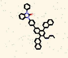 C/C=C\C=C/c1cc(-c2ccc3ccccc3c2)c2cc(-c3ccc(-n4c(=O)n(-c5ccccc5)c5ccccc54)cc3)ccc2c1-c1ccc2ccccc2c1